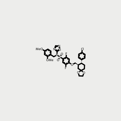 COc1ccc(CN(c2ncns2)S(=O)(=O)c2cc(F)c(OC[C@@H]3CC4(CC[C@H]3c3ccc(Cl)cc3)OCCO4)cc2F)c(OC)c1